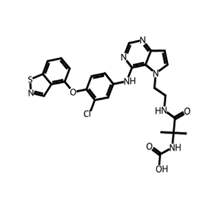 CC(C)(NC(=O)O)C(=O)NCCn1ccc2ncnc(Nc3ccc(Oc4cccc5sncc45)c(Cl)c3)c21